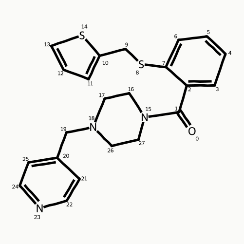 O=C(c1ccccc1SCc1cccs1)N1CCN(Cc2ccncc2)CC1